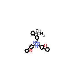 CC1(C)c2ccccc2-c2cc(-c3nc(-c4ccc5c(c4)oc4ccccc45)nc(-c4ccc5c(c4)oc4ccccc45)n3)ccc21